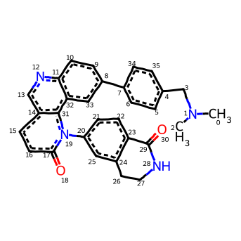 CN(C)Cc1ccc(-c2ccc3ncc4ccc(=O)n(-c5ccc6c(c5)CCNC6=O)c4c3c2)cc1